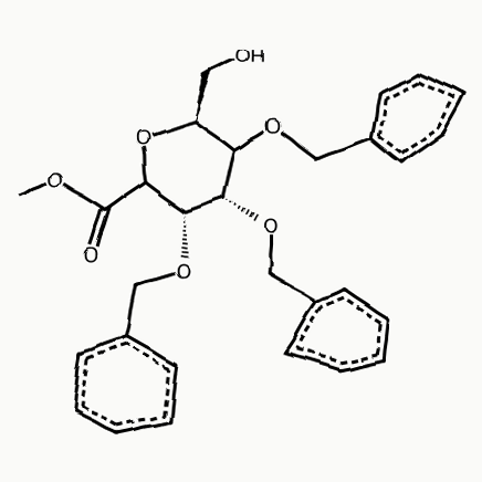 COC(=O)C1O[C@@H](CO)C(OCc2ccccc2)[C@H](OCc2ccccc2)[C@@H]1OCc1ccccc1